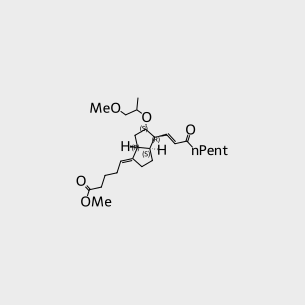 CCCCCC(=O)C=C[C@H]1[C@H]2CCC(=CCCCC(=O)OC)[C@@H]2C[C@@H]1OC(C)COC